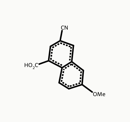 COc1ccc2c(C(=O)O)cc(C#N)cc2c1